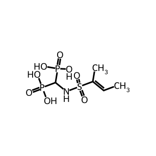 C/C=C(\C)S(=O)(=O)NC(P(=O)(O)O)P(=O)(O)O